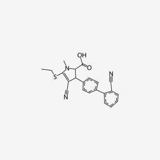 CCSC1=C(C#N)C(c2ccc(-c3ccccc3C#N)cc2)C(C(=O)O)N1C